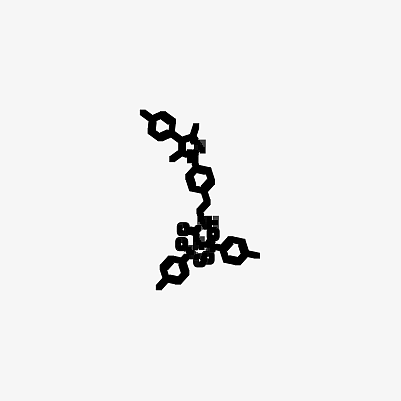 Cc1ccc(-c2c(C)nn(-c3ccc(CCNC(=O)N(S(=O)(=O)c4ccc(C)cc4)S(=O)(=O)c4ccc(C)cc4)cc3)c2C)cc1